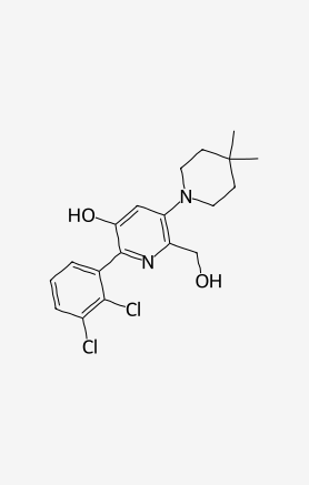 CC1(C)CCN(c2cc(O)c(-c3cccc(Cl)c3Cl)nc2CO)CC1